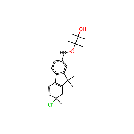 CC1(Cl)C=CC2=C(C1)C(C)(C)c1cc(BOC(C)(C)C(C)(C)O)ccc12